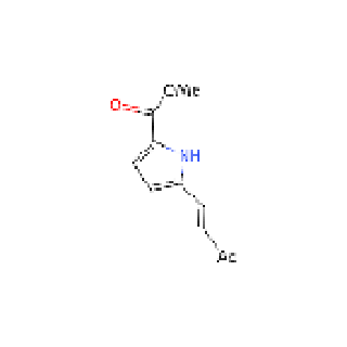 COC(=O)c1ccc(C=CC(C)=O)[nH]1